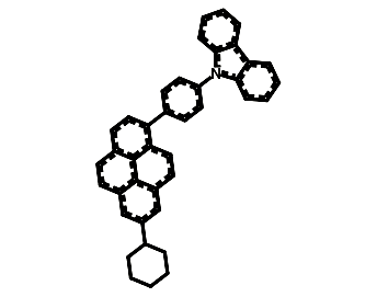 c1ccc2c(c1)c1ccccc1n2-c1ccc(-c2ccc3ccc4cc(C5CCCCC5)cc5ccc2c3c45)cc1